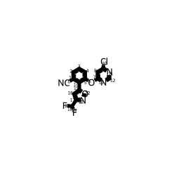 N#Cc1cccc(Oc2cc(Cl)ncn2)c1-c1cc(C(F)F)no1